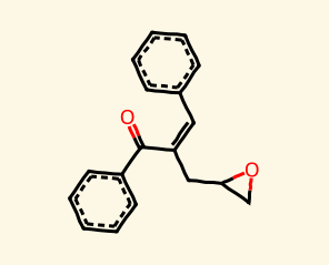 O=C(C(=Cc1ccccc1)CC1CO1)c1ccccc1